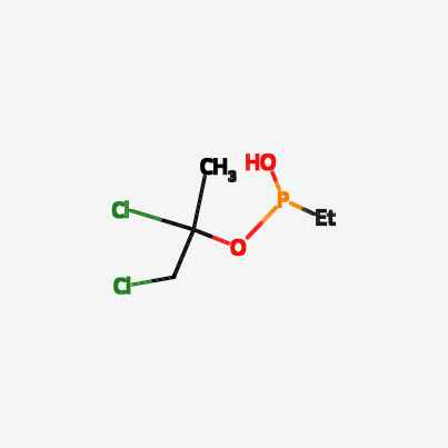 CCP(O)OC(C)(Cl)CCl